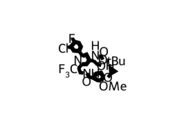 COc1cc(C(=O)NCC(c2cc(C(CO)NC(=O)OC(C)(C)C)cc(-c3ccc(F)c(Cl)c3)n2)C(F)(F)F)ccc1OC1CC1